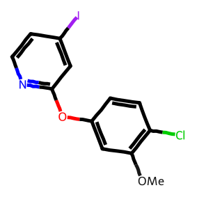 COc1cc(Oc2cc(I)ccn2)ccc1Cl